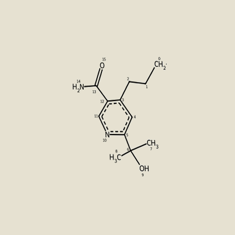 [CH2]CCc1cc(C(C)(C)O)ncc1C(N)=O